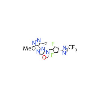 COc1ncnc(C2CC2)c1-c1ncc2c(n1)N(Cc1c(F)cc(-c3nc(C(F)(F)F)cn3C)cc1F)CCO2